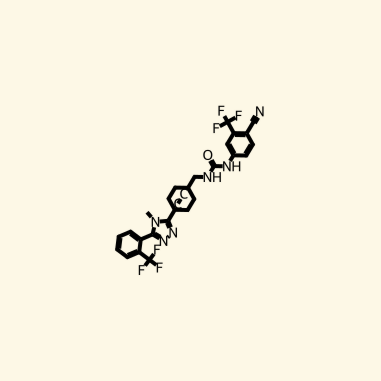 Cn1c(-c2ccccc2C(F)(F)F)nnc1C12CCC(CNC(=O)Nc3ccc(C#N)c(C(F)(F)F)c3)(CC1)CC2